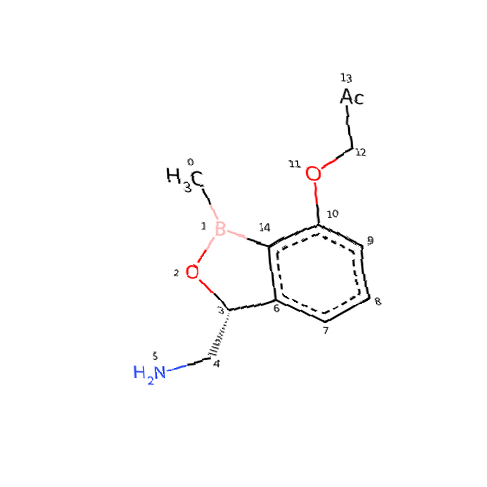 CB1O[C@@H](CN)c2cccc(OCC(C)=O)c21